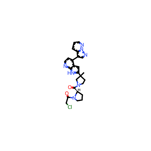 CC1(c2cc3c(-c4cnn5ncccc45)ccnc3[nH]2)CCN(C(=O)[C@H]2CCCN2C(=O)CCl)C1